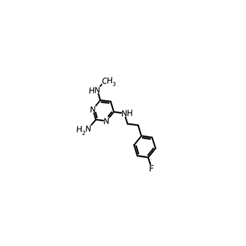 CNc1cc(NCCc2ccc(F)cc2)nc(N)n1